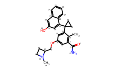 Cc1c(C(N)=O)cc(OCC2CCN2C)cc1C1(c2cc(O)cc3ccccc23)CC1